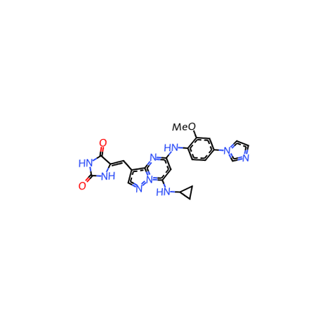 COc1cc(-n2ccnc2)ccc1Nc1cc(NC2CC2)n2ncc(/C=C3\NC(=O)NC3=O)c2n1